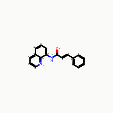 O=C(C=Cc1ccccc1)Nc1cccc2cccnc12